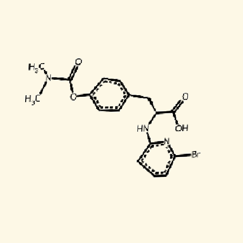 CN(C)C(=O)Oc1ccc(C[C@H](Nc2cccc(Br)n2)C(=O)O)cc1